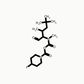 CC(CC(C)(C)C)C(C=O)N(C)C(=O)OC(=O)N1CCC(F)CC1